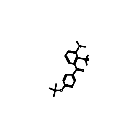 CN(C)c1cccc(C(=O)c2ccc(O[Si](C)(C)C)cc2)c1[SiH](C)C